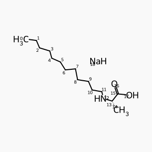 CCCCCCCCCCCCN[C@@H](C)C(=O)O.[NaH]